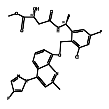 COC(=O)[C@@H](O)CC(=O)N[C@@H](C)c1cc(F)cc(Cl)c1COc1cccc2c(-n3cc(F)cn3)cc(C)nc12